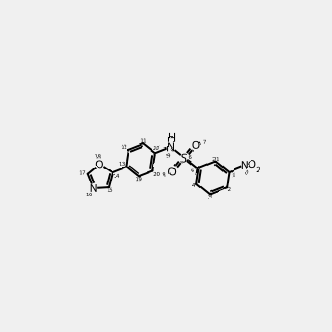 O=[N+]([O-])c1cccc(S(=O)(=O)Nc2ccc(-c3cnco3)cc2)c1